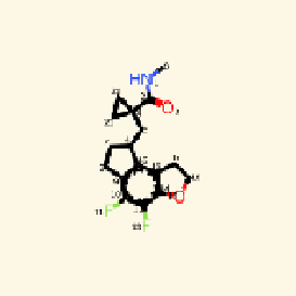 CNC(=O)C1(CC2CCc3c(F)c(F)c4c(c32)CCO4)CC1